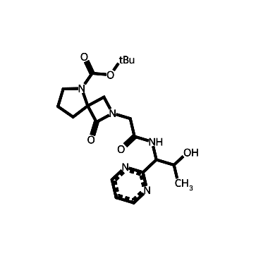 CC(O)C(NC(=O)CN1CC2(CCCN2C(=O)OC(C)(C)C)C1=O)c1ncccn1